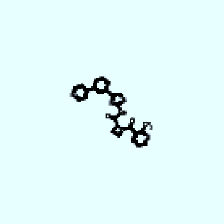 O=C(Nc1nc(-c2cccc(-c3ccncc3)c2)cs1)C1CCN1C(=O)c1cccnc1C(F)(F)F